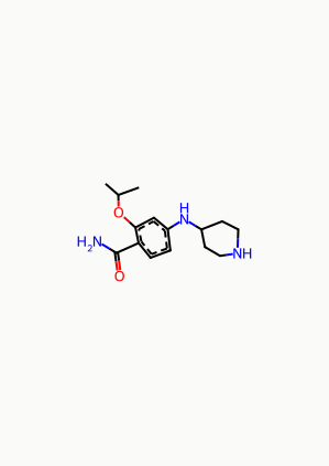 CC(C)Oc1cc(NC2CCNCC2)ccc1C(N)=O